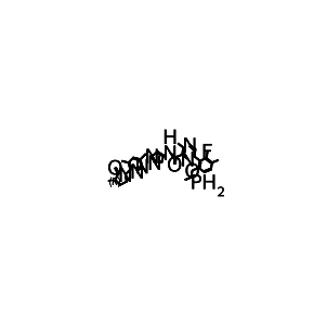 Cc1cc(Cn2cc(NC(=O)c3nc(-c4c(OC(C)P)ccc(C)c4F)cnc3C)cn2)nnc1N1CC[C@@H](C)C1=O